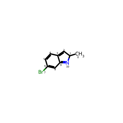 CC1C=c2ccc(Br)cc2=N1